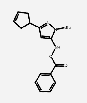 CC(C)(C)n1nc(C2CC=CC2)cc1NOC(=O)c1ccccc1